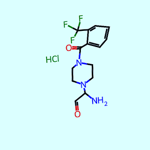 Cl.NC(C=O)N1CCN(C(=O)c2ccccc2C(F)(F)F)CC1